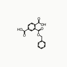 O=C(O)c1ccc(C(=O)O)c(C(=O)OCc2ccccc2)c1